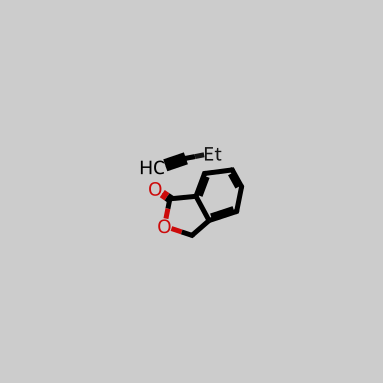 C#CCC.O=C1OCc2ccccc21